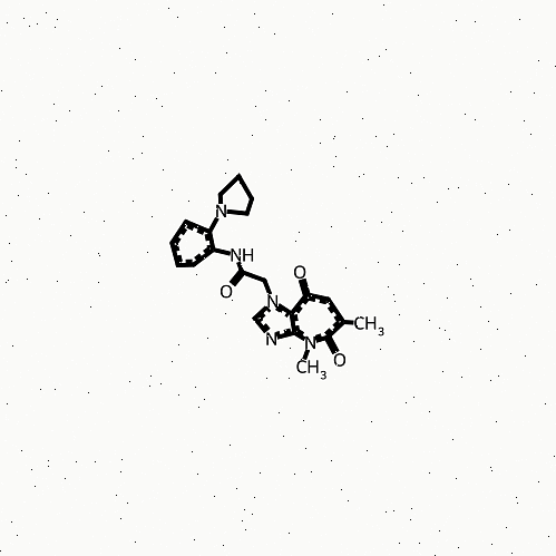 Cc1cc(=O)c2c(ncn2CC(=O)Nc2ccccc2N2CCCC2)n(C)c1=O